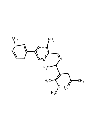 C=C(C)C/C(=C(/C)OC)C(C)/N=C\c1ncc(C2=CN(C)N=CC2)cc1N